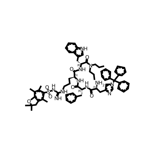 CCCN(CCC)C(=O)[C@@H](Cc1c[nH]c2ccccc12)NC(=O)[C@H](CCCNC(=N)NS(=O)(=O)c1c(C)c(C)c2c(c1C)CC(C)(C)O2)NC(=O)[C@@H](Cc1ccccc1)NC(=O)[C@@H](N)Cc1cn(C(c2ccccc2)(c2ccccc2)c2ccccc2)cn1